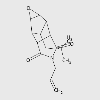 C=CCN1C(=O)C2C(C1=O)C1C(CC(C)C)C2C2OC21